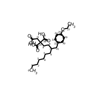 CCCCCCCC(CCC(CC(=O)O)(C(=O)O)C(=O)O)Cc1ccc(OCC)cc1